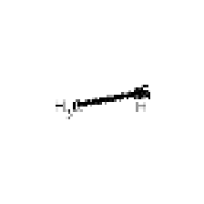 CCCCCCCCCCCCCCCCC[CH2][SnH]=[S]